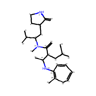 C=C1NCCC1CC(C(C)C)N(C)C(=C)C(CC(C)C)C(C)NC1=C(C)CC=CC=C1